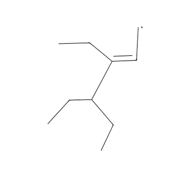 [CH2]/C=C(\CC)C(CC)CC